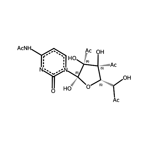 CC(=O)Nc1ccn([C@]2(O)O[C@@H](C(O)C(C)=O)[C@@](O)(C(C)=O)[C@@]2(O)C(C)=O)c(=O)n1